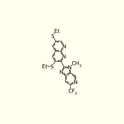 CCSc1cnc2nc(-c3nc4cc(C(F)(F)F)ncc4n3C)c(SCC)cc2c1